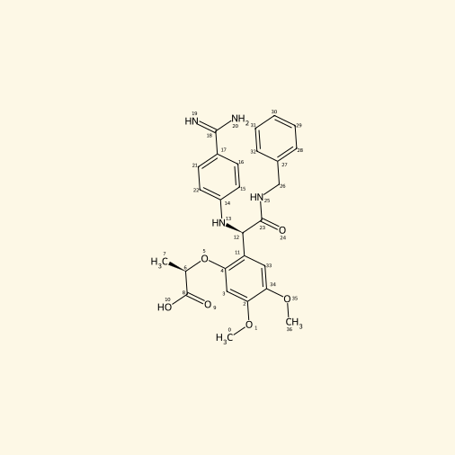 COc1cc(O[C@H](C)C(=O)O)c([C@@H](Nc2ccc(C(=N)N)cc2)C(=O)NCc2ccccc2)cc1OC